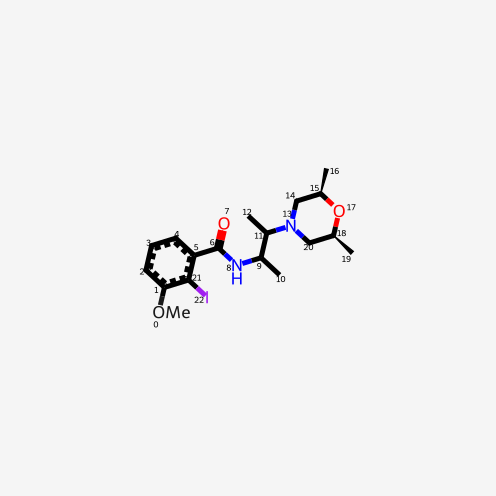 COc1cccc(C(=O)NC(C)C(C)N2C[C@@H](C)O[C@@H](C)C2)c1I